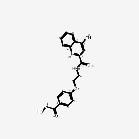 O=C(NO)c1ccc(OCCNC(=O)c2cc(O)c3ccccc3n2)cc1